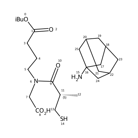 CC(C)COC(=O)CCCN(CC(=O)O)C(=O)[C@H](C)CS.NC12CC3CC(CC(C3)C1)C2